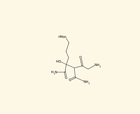 CCCCCCCCCCCCC(O)(C(N)=O)C(C(N)=O)C(=O)CN